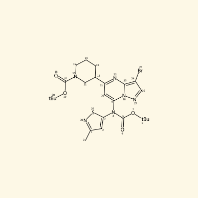 Cc1cc(N(C(=O)OC(C)(C)C)c2cc(C3CCCN(C(=O)OC(C)(C)C)C3)nc3c(Br)cnn23)sn1